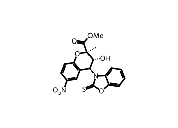 COC(=O)[C@]1(C)Oc2ccc([N+](=O)[O-])cc2[C@H](n2c(=S)oc3ccccc32)[C@H]1O